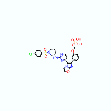 O=P(O)(O)OCOc1cccc(-c2nc3occn3c2-c2ccnc(N[C@@H]3CCCN(S(=O)(=O)c4ccc(Cl)cc4)C3)n2)c1